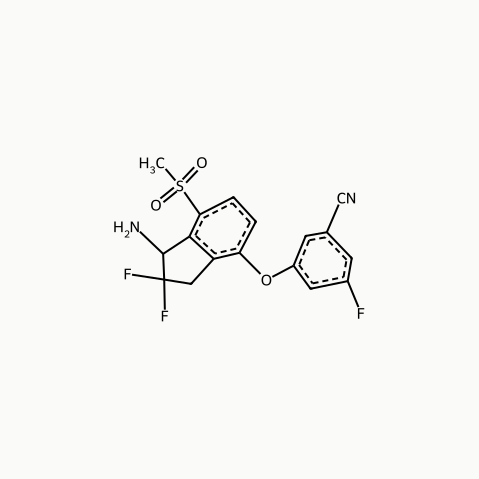 CS(=O)(=O)c1ccc(Oc2cc(F)cc(C#N)c2)c2c1C(N)C(F)(F)C2